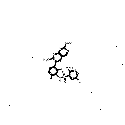 CNc1ncc2cc(-c3ccc(F)c(NS(=O)(=O)c4cc(Cl)cnc4OC)c3F)c(C)nc2n1